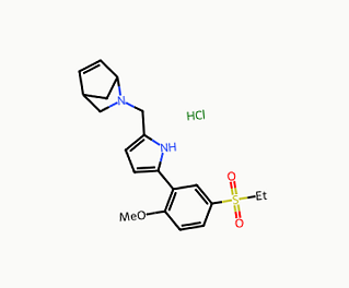 CCS(=O)(=O)c1ccc(OC)c(-c2ccc(CN3CC4C=CC3C4)[nH]2)c1.Cl